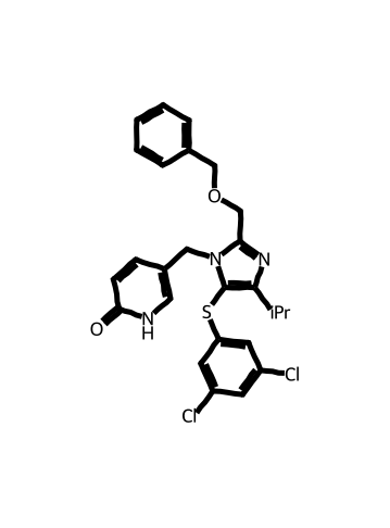 CC(C)c1nc(COCc2ccccc2)n(Cc2ccc(=O)[nH]c2)c1Sc1cc(Cl)cc(Cl)c1